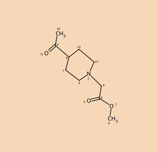 COC(=O)CN1CCC(C(C)=O)CC1